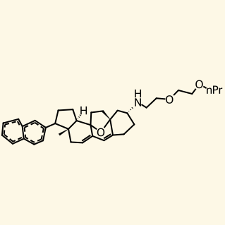 CCCOCCOCCN[C@@H]1CCC2=CC3=CC[C@]4(C)C(c5ccc6ccccc6c5)CC[C@H]4C34CC[C@]2(C1)O4